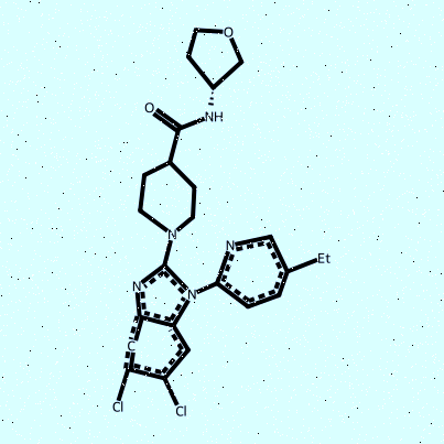 CCc1ccc(-n2c(N3CCC(C(=O)N[C@@H]4CCOC4)CC3)nc3cc(Cl)c(Cl)cc32)nc1